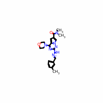 Cc1cccc(/C=N/Nc2nc(N3CCOCC3)c3cc(C(=O)N(C)C)cn3n2)c1